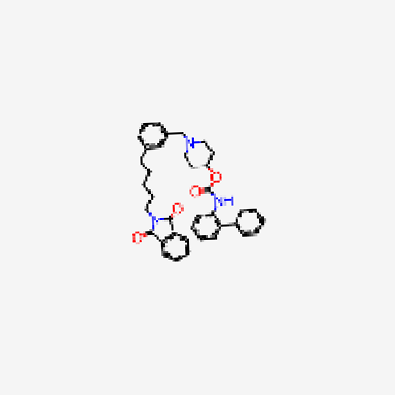 O=C(Nc1ccccc1-c1ccccc1)OC1CCN(Cc2cccc(CCCCCN3C(=O)c4ccccc4C3=O)c2)CC1